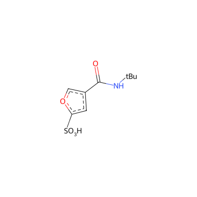 CC(C)(C)NC(=O)c1coc(S(=O)(=O)O)c1